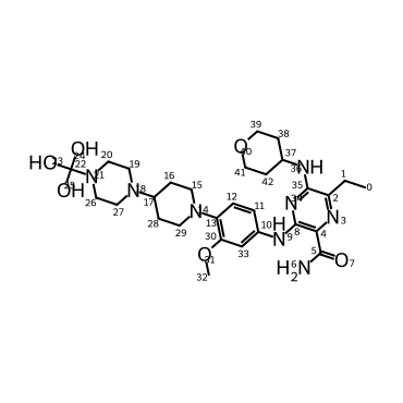 CCc1nc(C(N)=O)c(Nc2ccc(N3CCC(N4CCN(C(O)(O)O)CC4)CC3)c(OC)c2)nc1NC1CCOCC1